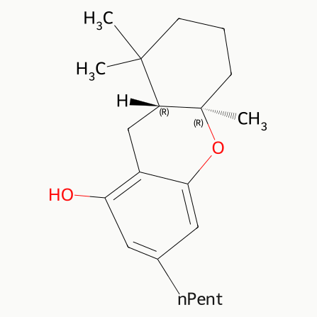 CCCCCc1cc(O)c2c(c1)O[C@]1(C)CCCC(C)(C)[C@H]1C2